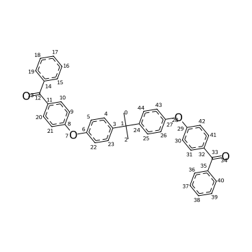 CC(C)(c1ccc(Oc2ccc(C(=O)c3ccccc3)cc2)cc1)c1ccc(Oc2ccc(C(=O)c3ccccc3)cc2)cc1